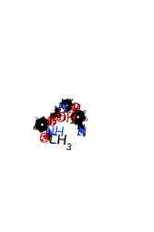 CC(=O)Nc1ccccc1OCC(O)CN1CCC(Oc2ccc(C#N)cc2)C1